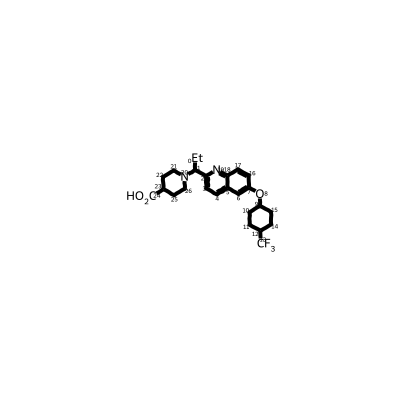 CCC(c1ccc2cc(OC3CCC(C(F)(F)F)CC3)ccc2n1)N1CCC(C(=O)O)CC1